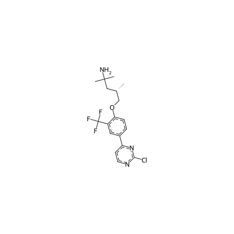 C[C@H](COc1ccc(-c2ccnc(Cl)n2)cc1C(F)(F)F)CC(C)(C)N